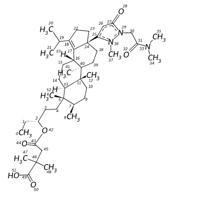 CC[C@H](CC[C@@]1(C)[C@H](C)CC[C@]2(C)[C@@H]1CC[C@@H]1C3=C(C(C)C)CC[C@]3(c3cc(=O)n(CC(=O)N(C)C)n3C)CC[C@]12C)OC(=O)CC(C)(C)C(=O)O